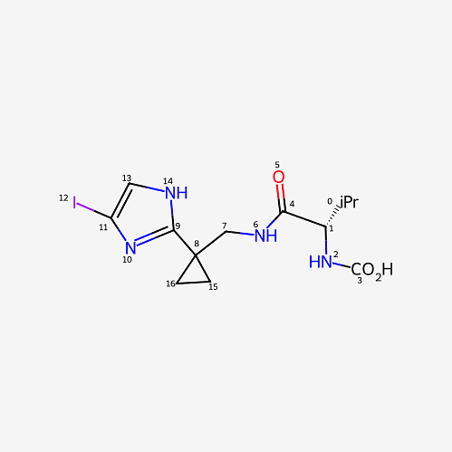 CC(C)[C@H](NC(=O)O)C(=O)NCC1(c2nc(I)c[nH]2)CC1